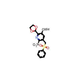 COc1cc(CS(=O)(=O)c2ccccc2)c([N+](=O)[O-])nc1C1OCCO1